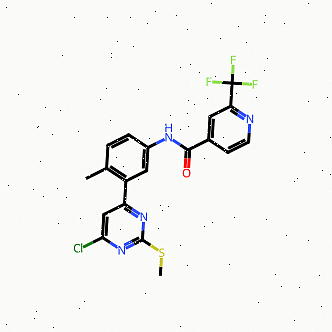 CSc1nc(Cl)cc(-c2cc(NC(=O)c3ccnc(C(F)(F)F)c3)ccc2C)n1